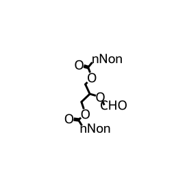 CCCCCCCCCC(=O)OCC(COC(=O)CCCCCCCCC)OC=O